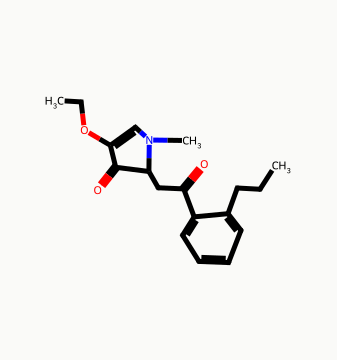 CCCc1ccccc1C(=O)CC1C(=O)C(OCC)=CN1C